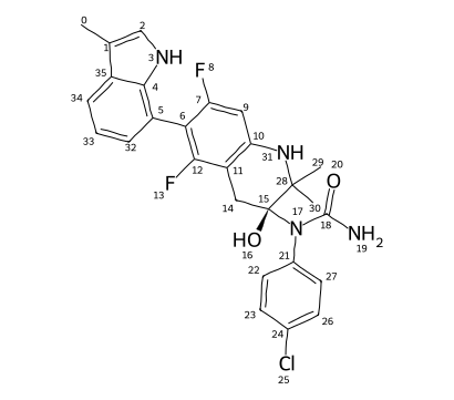 Cc1c[nH]c2c(-c3c(F)cc4c(c3F)C[C@@](O)(N(C(N)=O)c3ccc(Cl)cc3)C(C)(C)N4)cccc12